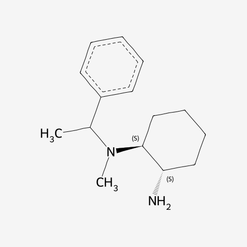 CC(c1ccccc1)N(C)[C@H]1CCCC[C@@H]1N